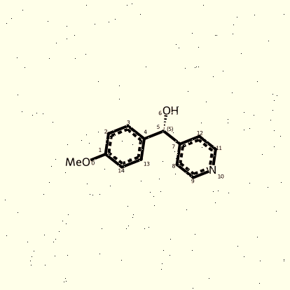 COc1ccc([C@H](O)c2ccncc2)cc1